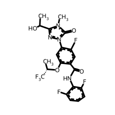 CC(O)c1nn(-c2cc(O[C@@H](C)C(F)(F)F)c(C(=O)Nc3c(F)cccc3F)cc2F)c(=O)n1C